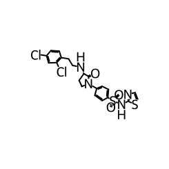 O=C1[C@@H](NCCc2ccc(Cl)cc2Cl)CCN1c1ccc(S(=O)(=O)Nc2nccs2)cc1